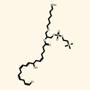 CC/C=C\C/C=C\C/C=C\C=C\C(O)C/C=C\CCCC(=O)OC(COCCCCCCCCCCCCCCCC)COP(=O)([O-])OCC[N+](C)(C)C